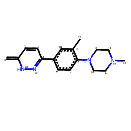 C=C1C=CC(c2ccc(N3CCN(C)CC3)c(C)c2)=NN1